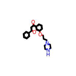 O=c1cc(-c2ccccc2)oc2c(OCCCN3CCNCC3)cccc12